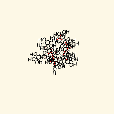 O=C(Oc1cc(C(=O)Oc2c(O)c(O)cc(C(=O)O)c2[C@@H]2[C@H](c3c(C(=O)O)cc(O)c(O)c3OC(=O)c3cc(O)c(O)c(OC(=O)c4cc(O)c(O)c(O)c4)c3)[C@H](c3c(C(=O)O)cc(O)c(O)c3OC(=O)c3cc(O)c(O)c(OC(=O)c4cc(O)c(O)c(O)c4)c3)OC[C@H]2c2c(C(=O)O)cc(O)c(O)c2OC(=O)c2cc(O)c(O)c(OC(=O)c3cc(O)c(O)c(O)c3)c2)cc(O)c1O)c1cc(O)c(O)c(O)c1